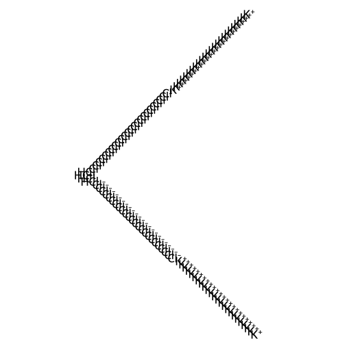 Cl.Cl.Cl.Cl.[Cl-].[Cl-].[Cl-].[Cl-].[Cl-].[Cl-].[Cl-].[Cl-].[Cl-].[Cl-].[Cl-].[Cl-].[Cl-].[Cl-].[Cl-].[Cl-].[Cl-].[Cl-].[Cl-].[Cl-].[Cl-].[Cl-].[Cl-].[Cl-].[Cl-].[Cl-].[Cl-].[Cl-].[Cl-].[Cl-].[Cl-].[Cl-].[Cl-].[Cl-].[Cl-].[Cl-].[Cl-].[Cl-].[Cl-].[Cl-].[Cl-].[Cl-].[Cl-].[Cl-].[Cl-].[Cl-].[Cl-].[Cl-].[K+].[K+].[K+].[K+].[K+].[K+].[K+].[K+].[K+].[K+].[K+].[K+].[K+].[K+].[K+].[K+].[K+].[K+].[K+].[K+].[K+].[K+].[K+].[K+].[K+].[K+].[K+].[K+].[K+].[K+].[K+].[K+].[K+].[K+].[K+].[K+].[K+].[K+].[K+].[K+].[K+].[K+].[K+].[K+].[K+].[K+].[K+].[K+]